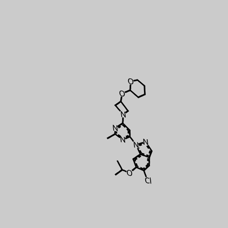 Cc1nc(N2CC(OC3CCCCO3)C2)cc(-n2ncc3cc(Cl)c(OC(C)C)cc32)n1